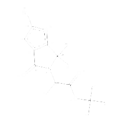 CC(C(=O)OC(C)(C)C)N1C(=O)c2cc(Br)sc2C1(C)C